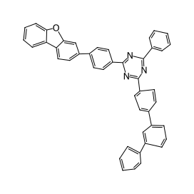 c1ccc(-c2cccc(-c3ccc(-c4nc(-c5ccccc5)nc(-c5ccc(-c6ccc7c(c6)oc6ccccc67)cc5)n4)cc3)c2)cc1